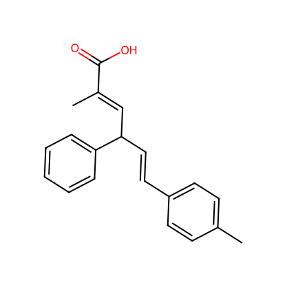 CC(=CC(C=Cc1ccc(C)cc1)c1ccccc1)C(=O)O